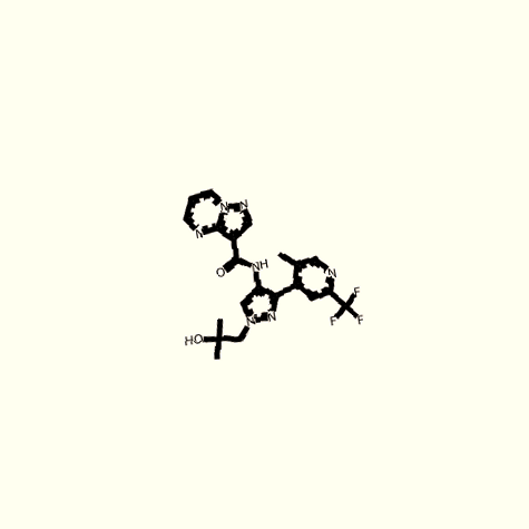 Cc1cnc(C(F)(F)F)cc1-c1nn(CC(C)(C)O)cc1NC(=O)c1cnn2cccnc12